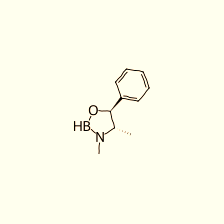 C[C@H]1[C@H](c2ccccc2)OBN1C